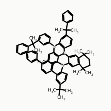 Cc1cc2c3c(c1)N(c1ccc(C(C)(C)C)cc1-c1ccc(-c4ccccc4)cc1)c1cc4c(cc1B3c1ccc(C(C)(C)c3ccccc3)cc1N2c1cccc(C(C)(C)c2ccccc2)c1)C(C)(C)CCC4(C)C